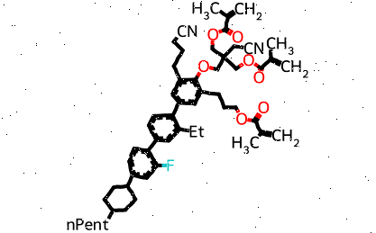 C=C(C)C(=O)OCCCc1cc(-c2ccc(-c3ccc(C4CCC(CCCCC)CC4)cc3F)cc2CC)cc(CCCC#N)c1OCC(CC#N)(COC(=O)C(=C)C)COC(=O)C(=C)C